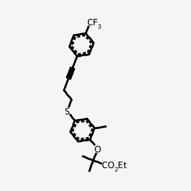 CCOC(=O)C(C)(C)Oc1ccc(SCCC#Cc2ccc(C(F)(F)F)cc2)cc1C